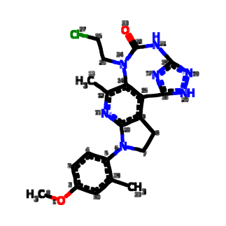 COc1ccc(N2CCc3c2nc(C)c2c3-c3nc(n[nH]3)NC(=O)N2CCCl)c(C)c1